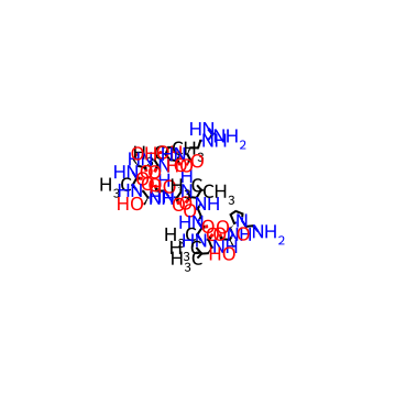 CC[C@H](C)[C@H](NC(=O)[C@H](CO)NC(=O)[C@H](CO)NC(=O)[C@H](C)NC(=O)[C@H](CO)NC(=O)CNC(=O)[C@H](CO)NC(=O)[C@@H](NC(=O)CNC(=O)[C@H](C)NC(=O)[C@H](CC(C)C)NC(=O)[C@H](CO)NC(=O)[C@@H]1CCCN1C(=O)CN)C(C)C)C(=O)N[C@@H](CCCNC(=N)N)C(=O)O